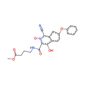 COC(=O)CCCNC(=O)c1c(O)c2ccc(Oc3ccccc3)cc2c(C#N)[n+]1[O-]